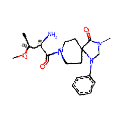 CO[C@@H](C)[C@@H](N)C(=O)N1CCC2(CC1)C(=O)N(C)CN2c1ccccc1